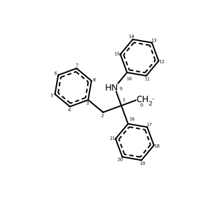 [CH2]C(Cc1ccccc1)(Nc1ccccc1)c1ccccc1